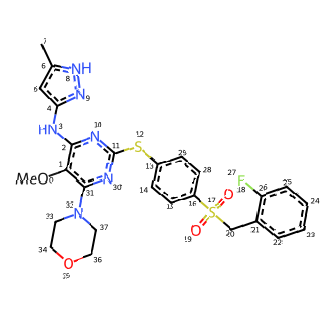 COc1c(Nc2cc(C)[nH]n2)nc(Sc2ccc(S(=O)(=O)Cc3ccccc3F)cc2)nc1N1CCOCC1